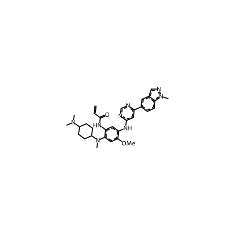 C=CC(=O)Nc1cc(Nc2cc(-c3ccc4c(cnn4C)c3)ncn2)c(OC)cc1N(C)C1CCC(N(C)C)CC1